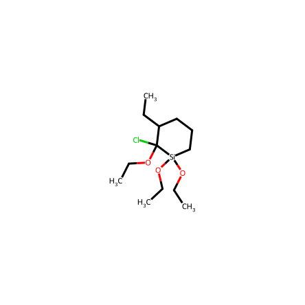 CCOC1(Cl)C(CC)CCC[Si]1(OCC)OCC